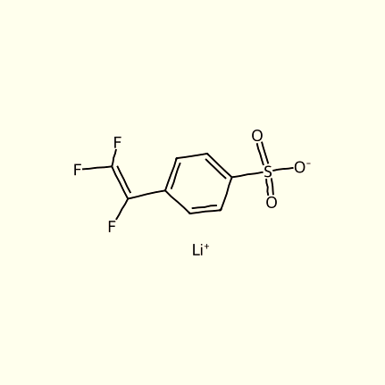 O=S(=O)([O-])c1ccc(C(F)=C(F)F)cc1.[Li+]